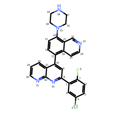 Fc1ccc(Cl)cc1-c1cc(-c2ccc(N3CCNCC3)c3cnccc23)c2cccnc2n1